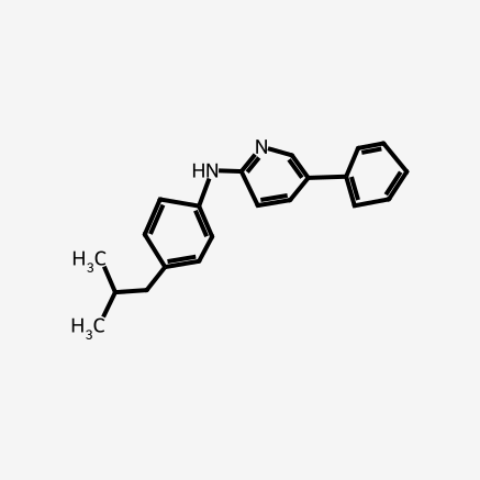 CC(C)Cc1ccc(Nc2ccc(-c3ccccc3)cn2)cc1